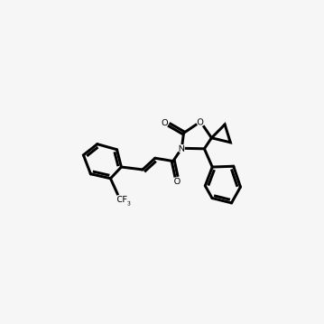 O=C(C=Cc1ccccc1C(F)(F)F)N1C(=O)OC2(CC2)C1c1ccccc1